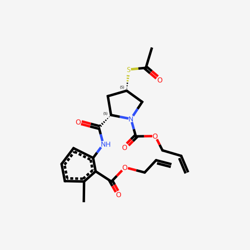 C=CCOC(=O)c1c(C)cccc1NC(=O)[C@@H]1C[C@H](SC(C)=O)CN1C(=O)OCC=C